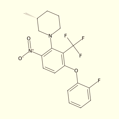 [CH2][C@@H]1CCCN(c2c([N+](=O)[O-])ccc(Oc3ccccc3F)c2C(F)(F)F)C1